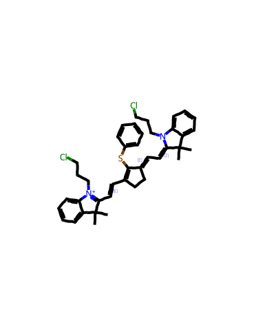 CC1(C)C(/C=C/C2=C(Sc3ccccc3)C(=C/C=C3\N(CCCCl)c4ccccc4C3(C)C)/CC2)=[N+](CCCCl)c2ccccc21